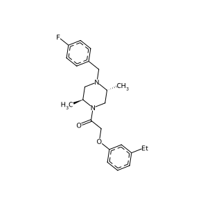 CCc1cccc(OCC(=O)N2C[C@@H](C)N(Cc3ccc(F)cc3)C[C@@H]2C)c1